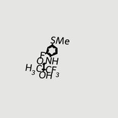 CSc1ccc(NC(=O)C(C)(O)C(F)(F)F)c(F)c1